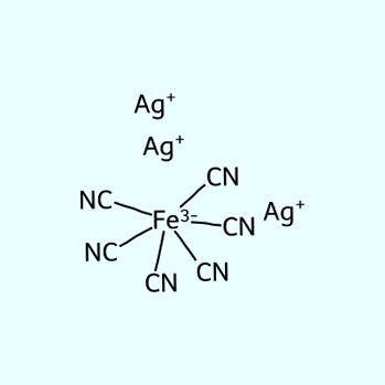 N#[C][Fe-3]([C]#N)([C]#N)([C]#N)([C]#N)[C]#N.[Ag+].[Ag+].[Ag+]